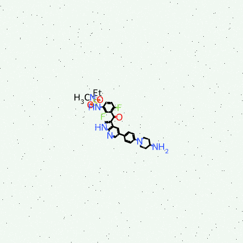 CCN(C)S(=O)(=O)Nc1ccc(F)c(C(=O)c2c[nH]c3ncc(-c4ccc(N5CCC(N)CC5)cc4)cc23)c1F